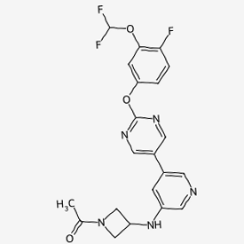 CC(=O)N1CC(Nc2cncc(-c3cnc(Oc4ccc(F)c(OC(F)F)c4)nc3)c2)C1